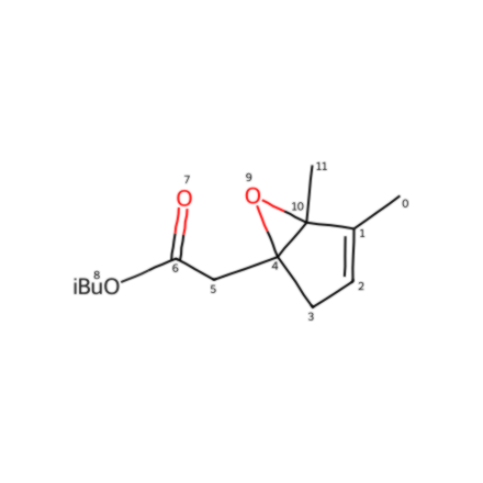 CC1=CCC2(CC(=O)OCC(C)C)OC12C